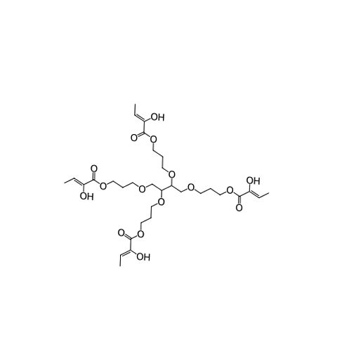 CC=C(O)C(=O)OCCCOCC(OCCCOC(=O)C(O)=CC)C(COCCCOC(=O)C(O)=CC)OCCCOC(=O)C(O)=CC